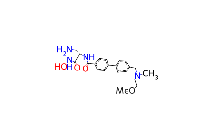 COCCN(C)Cc1ccc(-c2ccc(C(=O)N[C@@H](CN)C(=O)NO)cc2)cc1